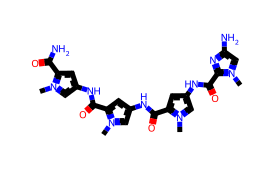 Cn1cc(NC(=O)c2cc(NC(=O)c3cc(NC(=O)c4nc(N)cn4C)cn3C)cn2C)cc1C(N)=O